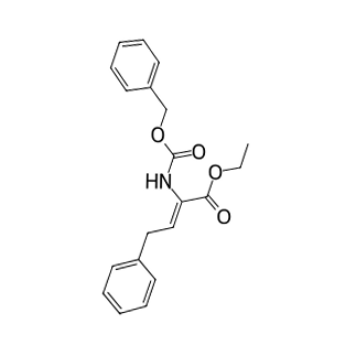 CCOC(=O)C(=CCc1ccccc1)NC(=O)OCc1ccccc1